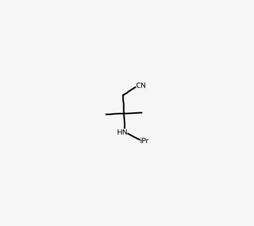 CC(C)NC(C)(C)CC#N